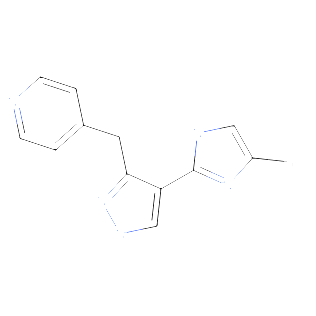 CCCc1c[nH]c(-c2c[nH]nc2Cc2ccncc2)n1